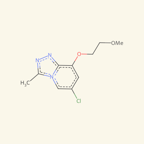 COCCOc1cc(Cl)cn2c(C)nnc12